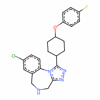 Fc1ccc(OC2CCC(c3nnc4n3-c3ccc(Cl)cc3CNC4)CC2)cc1